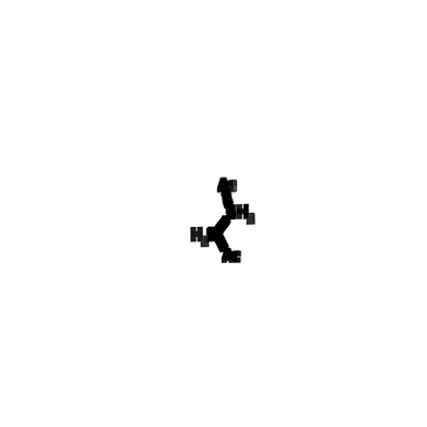 CC(=O)[SiH2][SiH2]C(C)=O